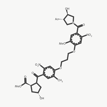 COC(=O)[C@@H]1C[C@@H](O)CC1C(=O)c1cc(C)c(OCCCOc2cc([N+](=O)[O-])c(C(=O)N3C[C@H](C(C)=O)[C@@H](O)C3)cc2OC)cc1[N+](=O)[O-]